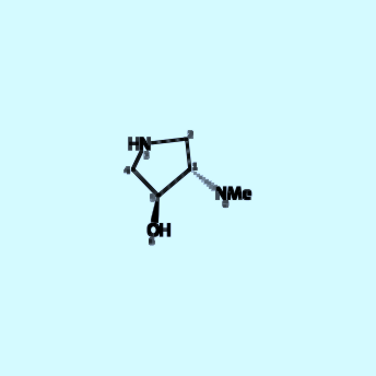 CN[C@H]1CNC[C@@H]1O